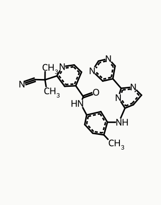 Cc1ccc(NC(=O)c2ccnc(C(C)(C)C#N)c2)cc1Nc1ccnc(-c2cncnc2)n1